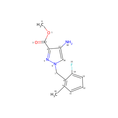 COC(=O)c1nn(Cc2c(C)cccc2F)cc1N